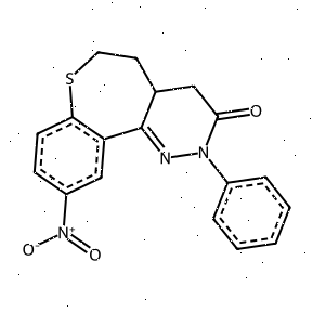 O=C1CC2CCSc3ccc([N+](=O)[O-])cc3C2=NN1c1ccccc1